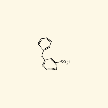 O=C(O)c1ccnc(Oc2ccccc2)c1